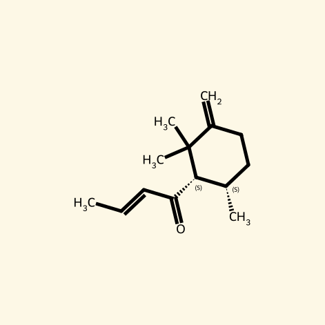 C=C1CC[C@H](C)[C@H](C(=O)C=CC)C1(C)C